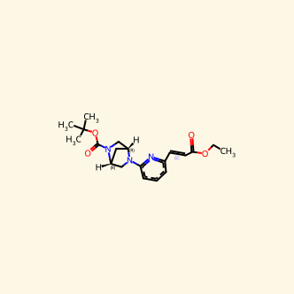 CCOC(=O)/C=C/c1cccc(N2C[C@H]3C[C@@H]2CN3C(=O)OC(C)(C)C)n1